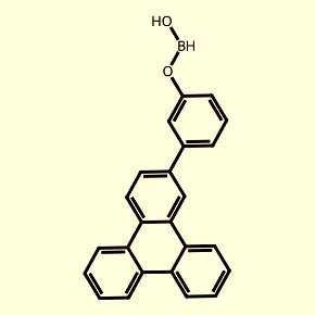 OBOc1cccc(-c2ccc3c4ccccc4c4ccccc4c3c2)c1